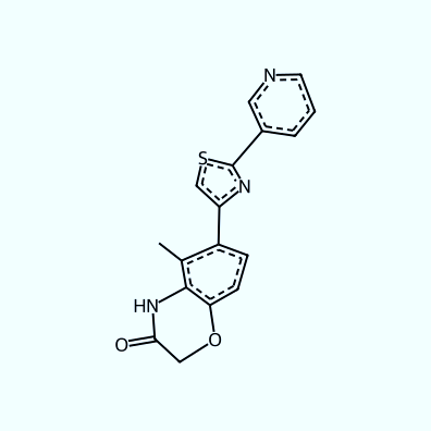 Cc1c(-c2csc(-c3cccnc3)n2)ccc2c1NC(=O)CO2